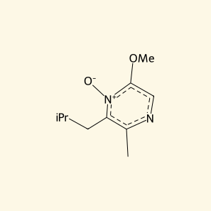 COc1cnc(C)c(CC(C)C)[n+]1[O-]